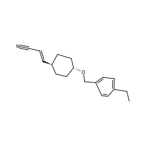 CCc1ccc(CO[C@H]2CC[C@H](C=CC#N)CC2)cc1